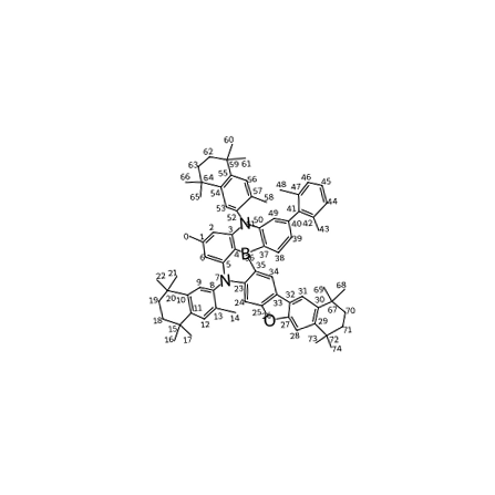 Cc1cc2c3c(c1)N(c1cc4c(cc1C)C(C)(C)CCC4(C)C)c1cc4oc5cc6c(cc5c4cc1B3c1ccc(-c3c(C)cccc3C)cc1N2c1cc2c(cc1C)C(C)(C)CCC2(C)C)C(C)(C)CCC6(C)C